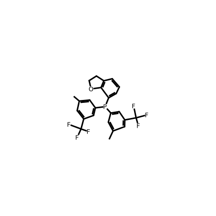 Cc1cc(P(c2cc(C)cc(C(F)(F)F)c2)c2cccc3c2OCC3)cc(C(F)(F)F)c1